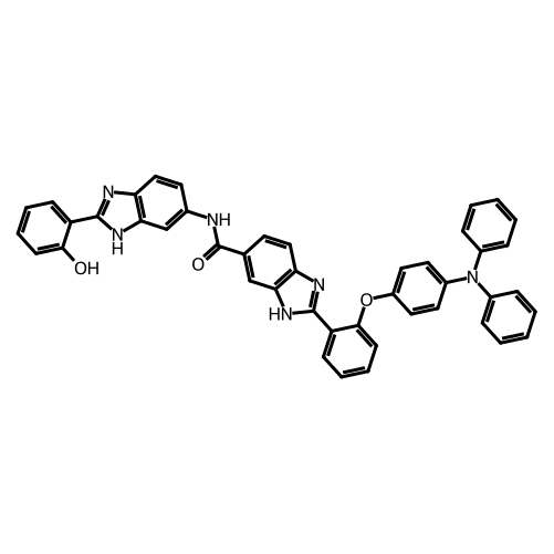 O=C(Nc1ccc2nc(-c3ccccc3O)[nH]c2c1)c1ccc2nc(-c3ccccc3Oc3ccc(N(c4ccccc4)c4ccccc4)cc3)[nH]c2c1